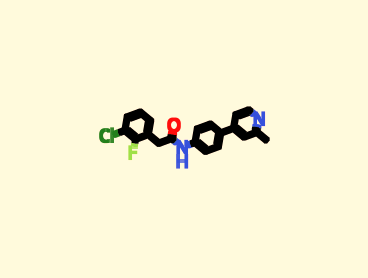 Cc1cc(-c2ccc(NC(=O)Cc3cccc(Cl)c3F)cc2)ccn1